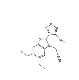 N#CCn1c(-c2nonc2N)nc2cc(CI)c(CI)cc21